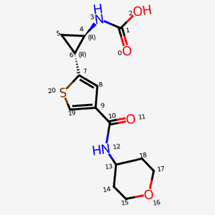 O=C(O)N[C@@H]1C[C@H]1c1cc(C(=O)NC2CCOCC2)cs1